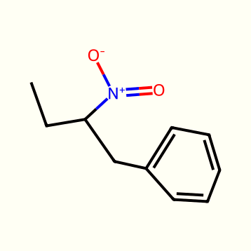 CCC(Cc1ccccc1)[N+](=O)[O-]